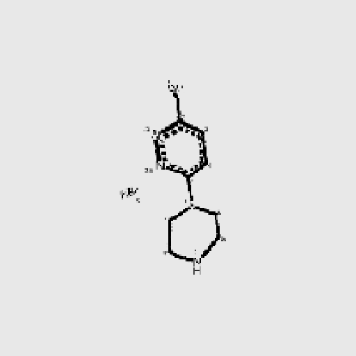 Br.Oc1ccc(N2CCNCC2)nn1